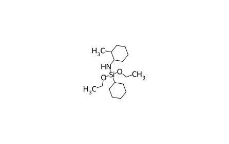 CCO[Si](NC1CCCCC1C)(OCC)C1CCCCC1